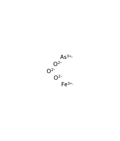 [As+3].[Fe+3].[O-2].[O-2].[O-2]